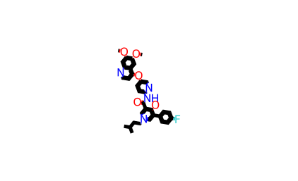 COc1cc2nccc(Oc3ccc(NC(=O)c4cn(CCC(C)C)cc(-c5ccc(F)cc5)c4=O)nc3)c2cc1OC